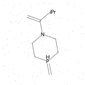 C=C(C(C)C)N1CC[PH](=C)CC1